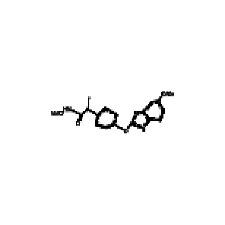 CONC(=O)C(C)c1ccc(Oc2nc3ccc(OC)cc3s2)cc1